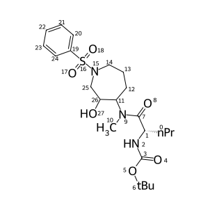 CCC[C@H](NC(=O)OC(C)(C)C)C(=O)N(C)C1CCCN(S(=O)(=O)c2ccccc2)CC1O